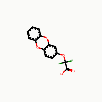 O=C(O)C(F)(F)Oc1ccc2c(c1)Oc1ccccc1O2